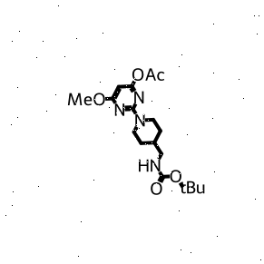 COc1cc(OC(C)=O)nc(N2CCC(CNC(=O)OC(C)(C)C)CC2)n1